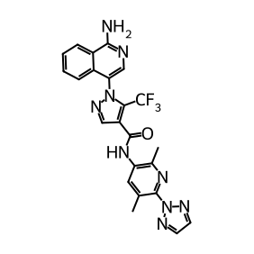 Cc1cc(NC(=O)c2cnn(-c3cnc(N)c4ccccc34)c2C(F)(F)F)c(C)nc1-n1nccn1